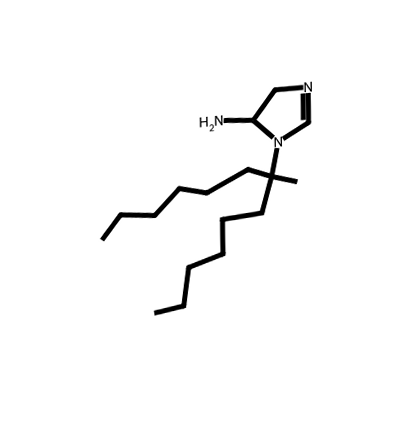 CCCCCCC(C)(CCCCCC)N1C=NCC1N